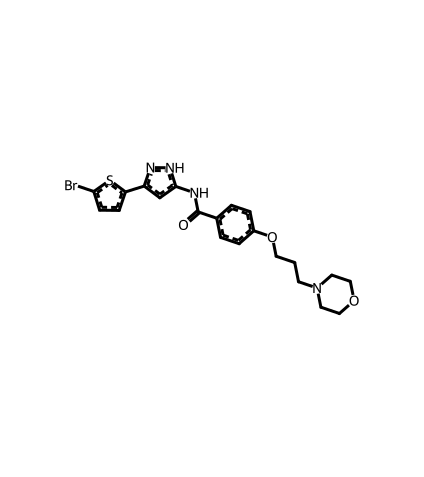 O=C(Nc1cc(-c2ccc(Br)s2)n[nH]1)c1ccc(OCCCN2CCOCC2)cc1